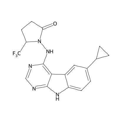 O=C1CCC(C(F)(F)F)N1Nc1ncnc2[nH]c3ccc(C4CC4)cc3c12